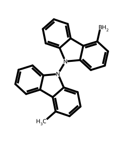 Bc1cccc2c1c1ccccc1n2-n1c2ccccc2c2c(C)cccc21